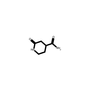 NC(=O)C1CCNC(=O)C1